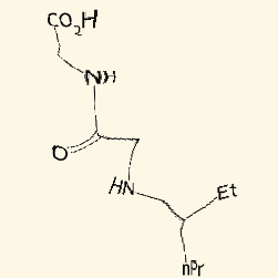 CCCC(CC)NCC(=O)NCC(=O)O